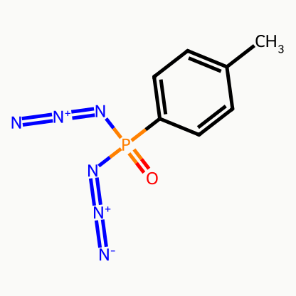 Cc1ccc(P(=O)(N=[N+]=[N-])N=[N+]=[N-])cc1